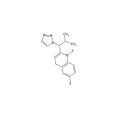 CC(C)C(C1=CCc2cc(F)ccc2N1F)n1ccnn1